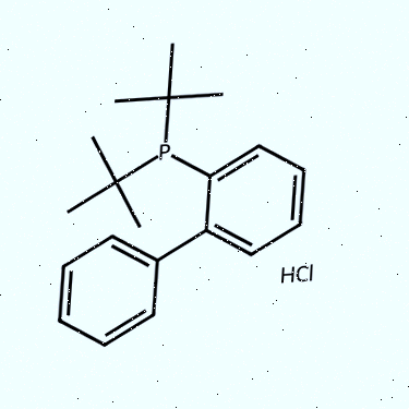 CC(C)(C)P(c1ccccc1-c1ccccc1)C(C)(C)C.Cl